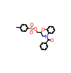 Cc1ccc(S(=O)(=O)OCC2CN(C(=O)c3ccccc3)c3ccccc3O2)cc1